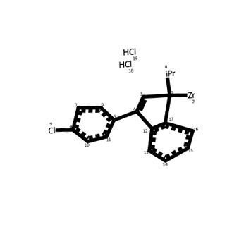 CC(C)[C]1([Zr])C=C(c2ccc(Cl)cc2)c2ccccc21.Cl.Cl